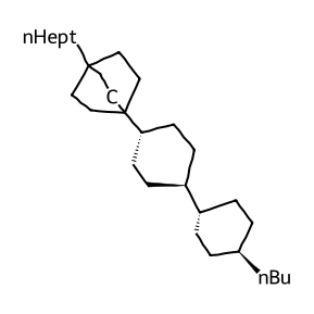 CCCCCCCC12CCC([C@H]3CC[C@H]([C@H]4CC[C@H](CCCC)CC4)CC3)(CC1)CC2